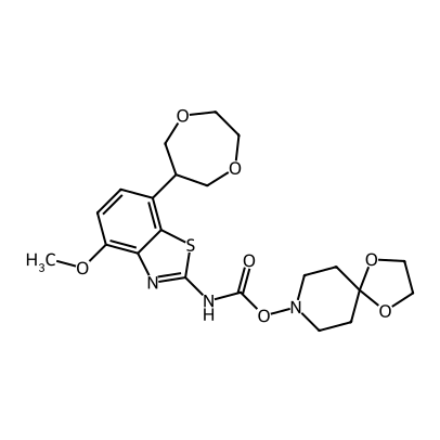 COc1ccc(C2COCCOC2)c2sc(NC(=O)ON3CCC4(CC3)OCCO4)nc12